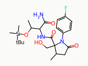 CC(O[Si](C)(C)C(C)(C)C)C(NC(=O)C1(CO)C(C)CC(=O)N1c1ccc(F)cc1)C(N)=O